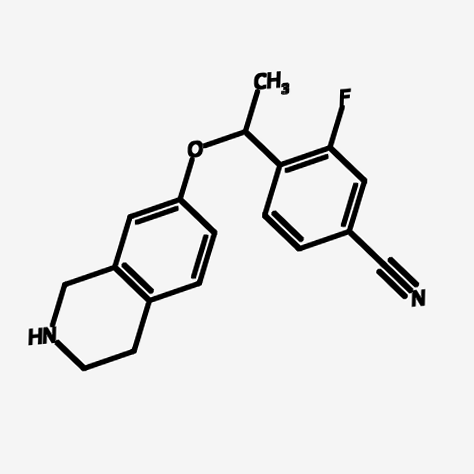 CC(Oc1ccc2c(c1)CNCC2)c1ccc(C#N)cc1F